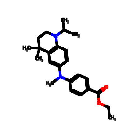 CCOC(=O)c1ccc(N(C)c2ccc3c(c2)C(C)(C)CCN3C(C)C)cc1